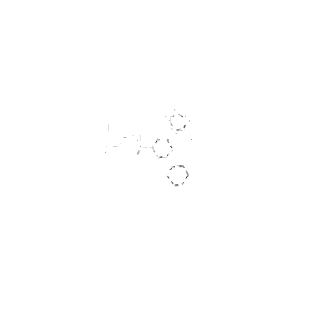 CCCc1nnnn1-c1cc(C(=O)N[C@H](C)COC)cc(-c2ccc(C)cc2)c1